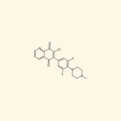 CN1CCN(c2c(F)cc(C3=C(Cl)C(=O)c4ncccc4C3=O)cc2F)CC1